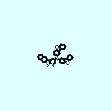 c1ccc2cc3c(cc2c1)sc1ncc(N(c2ccc4oc5ccccc5c4c2)c2ccc4oc5ccccc5c4c2)cc13